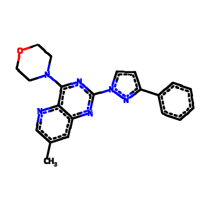 Cc1cnc2c(N3CCOCC3)nc(-n3ccc(-c4ccccc4)n3)nc2c1